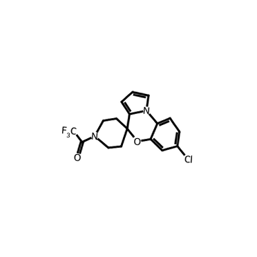 O=C(N1CCC2(CC1)Oc1cc(Cl)ccc1-n1cccc12)C(F)(F)F